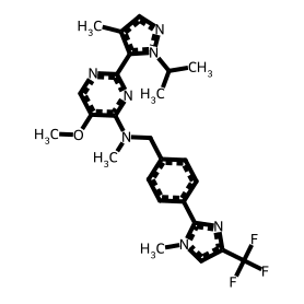 COc1cnc(-c2c(C)cnn2C(C)C)nc1N(C)Cc1ccc(-c2nc(C(F)(F)F)cn2C)cc1